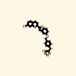 Clc1ccc2ccc(-c3cc4cc(OCc5ccc(Cc6nnn[nH]6)cc5)ccc4o3)nc2c1